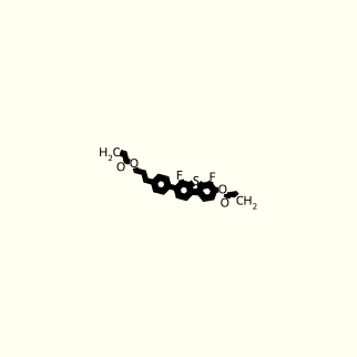 C=CC(=O)OCCCc1ccc(-c2ccc3c(sc4c(F)c(OC(=O)C=C)ccc43)c2F)cc1